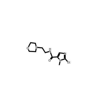 CCc1ncc(C(=O)NCCN2CCOCC2)n1C